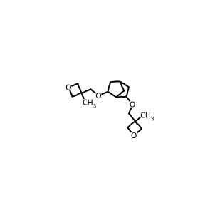 CC1(COC2CC3CC(OCC4(C)COC4)C2C3)COC1